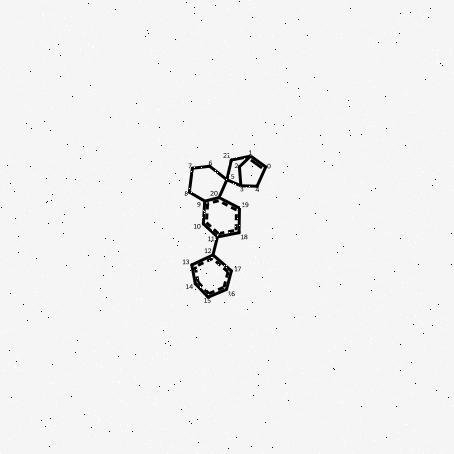 C1=C2CC(C1)C1(CCCc3cc(-c4ccccc4)ccc31)C2